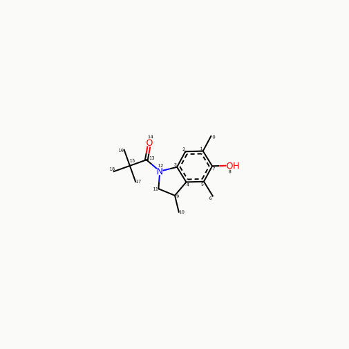 Cc1cc2c(c(C)c1O)C(C)CN2C(=O)C(C)(C)C